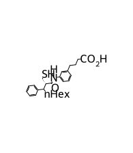 CCCCCCC(c1ccccc1)[C@H](CS)C(=O)Nc1cccc(CCCC(=O)O)c1